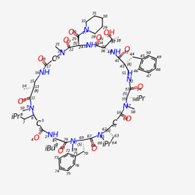 CC[C@H](C)[C@@H]1NC(=O)CC(CC(C)C)N(C)C(=O)[C@H](C)CNC(=O)CN(C)C(=O)[C@@H](C(=O)N2CCCCC2)NC(=O)[C@H]([C@@H](C)O)NC(=O)[C@H](Cc2ccccc2)CNC(=O)[C@H](C(C)C)N(C)C(=O)C[C@H](CC(C)C)N(C)C(=O)[C@H](Cc2ccccc2)N(C)C1=O